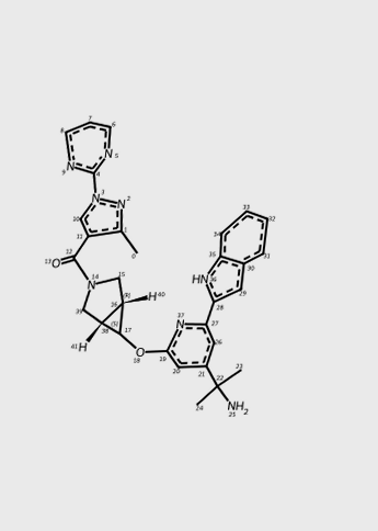 Cc1nn(-c2ncccn2)cc1C(=O)N1C[C@@H]2C(Oc3cc(C(C)(C)N)cc(-c4cc5ccccc5[nH]4)n3)[C@@H]2C1